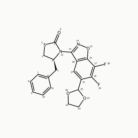 O=C1SC[C@H](Cc2ccccc2)N1c1noc2c(F)c(F)c(C3OCCO3)cc12